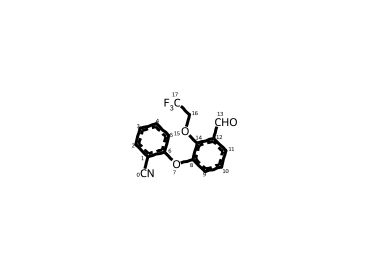 N#Cc1ccccc1Oc1cccc(C=O)c1OCC(F)(F)F